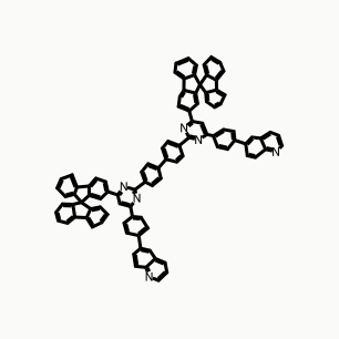 c1ccc2c(c1)-c1ccccc1C21c2ccccc2-c2ccc(-c3cc(-c4ccc(-c5ccc6ncccc6c5)cc4)nc(-c4ccc(-c5ccc(-c6nc(-c7ccc(-c8ccc9ncccc9c8)cc7)cc(-c7ccc8c(c7)C7(c9ccccc9-c9ccccc97)c7ccccc7-8)n6)cc5)cc4)n3)cc21